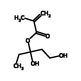 C=C(C)C(=O)OC(O)(CC)CCO